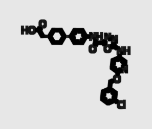 O=C(O)C[C@H]1CC[C@H](c2ccc(NC(=O)c3nnc(Nc4ccc(OCc5cccc(Cl)c5)nc4)o3)cc2)CC1